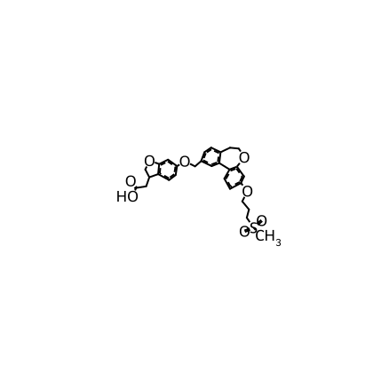 CS(=O)(=O)CCCOc1ccc2c(c1)OCCc1ccc(COc3ccc4c(c3)OCC4CC(=O)O)cc1-2